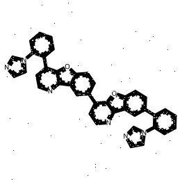 c1ccc(-n2ccnc2)c(-c2ccc3oc4c(-c5ccc6oc7c(-c8ccccc8-n8ccnc8)ccnc7c6c5)ccnc4c3c2)c1